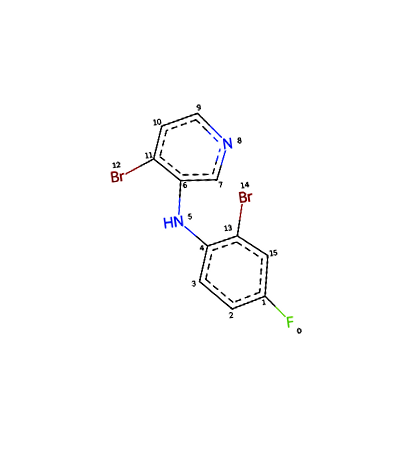 Fc1ccc(Nc2cnccc2Br)c(Br)c1